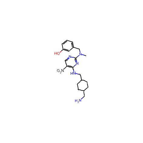 CN(Cc1cccc(O)c1)c1ncc([N+](=O)[O-])c(NCC2CCC(CN)CC2)n1